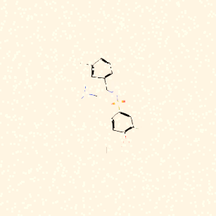 CN(C)C[C@@H](NS(=O)(=O)c1ccc(OC(F)(F)F)c(Cl)c1)c1cccc(C(F)(F)F)c1